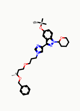 C[C@H](CCOCCCn1cnc(-c2nn(C3CCCCO3)c3ccc(O[Si](C)(C)C(C)(C)C)cc23)c1)OCc1ccccc1